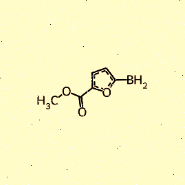 Bc1ccc(C(=O)OC)o1